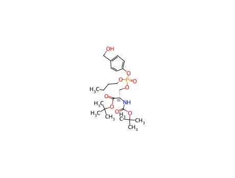 CCCCOP(=O)(OC[C@H](NC(=O)OC(C)(C)C)C(=O)OC(C)(C)C)Oc1ccc(CO)cc1